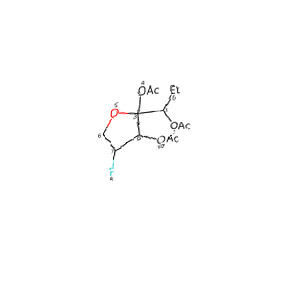 CCC(OC(C)=O)C1(OC(C)=O)OCC(F)C1OC(C)=O